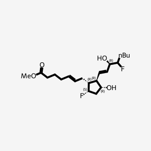 CCCCC(F)[C@H](O)C=C[C@@H]1[C@@H](CC=CCCCC(=O)OC)[C@@H](F)C[C@H]1O